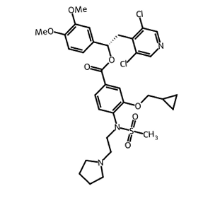 COc1ccc([C@H](Cc2c(Cl)cncc2Cl)OC(=O)c2ccc(N(CCN3CCCC3)S(C)(=O)=O)c(OCC3CC3)c2)cc1OC